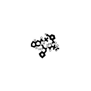 CC(C)(C)NC(=O)C1C[C@@H]2CCCC[C@@H]2CN1CC(O)C(Cc1ccccc1)NC(=O)[C@@H](NC(=O)c1cccc(C#N)c1)C(C)(C)S(C)(=O)=O